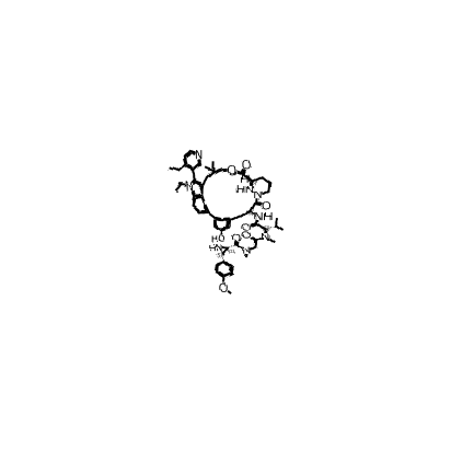 CCc1ccncc1-c1c2c3cc(ccc3n1CC)-c1cc(O)cc(c1)C[C@H](NC(=O)[C@H](C(C)C)N(C)C(=O)CN(C)C(=O)[C@H]1N[C@H]1c1ccc(OC)cc1)C(=O)N1CCC[C@H](N1)C(=O)OCC(C)(C)C2